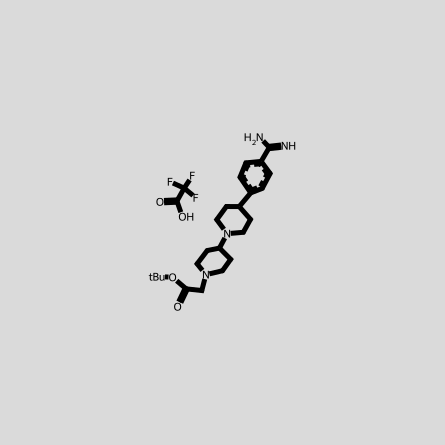 CC(C)(C)OC(=O)CN1CCC(N2CCC(c3ccc(C(=N)N)cc3)CC2)CC1.O=C(O)C(F)(F)F